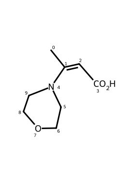 C/C(=C/C(=O)O)N1CCOCC1